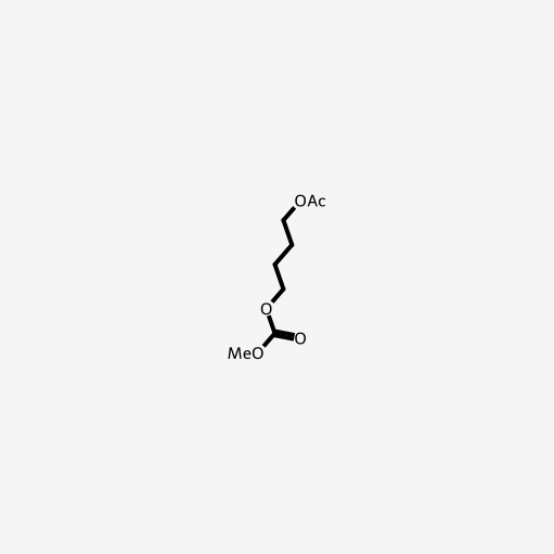 COC(=O)OCCCCOC(C)=O